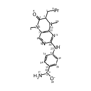 CC(C)CC1C(=O)N(C)c2cnc(Nc3ccc([S+](N)[O-])cc3)nc2N1C